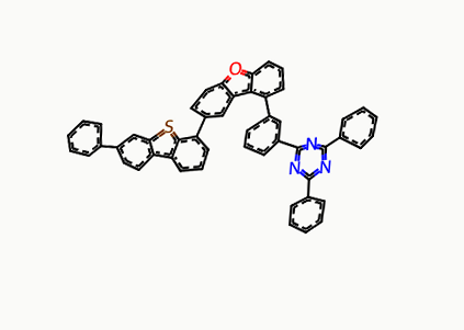 c1ccc(-c2ccc3c(c2)sc2c(-c4ccc5oc6cccc(-c7cccc(-c8nc(-c9ccccc9)nc(-c9ccccc9)n8)c7)c6c5c4)cccc23)cc1